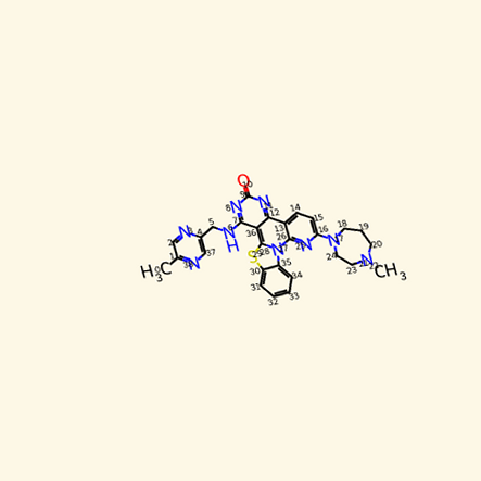 Cc1cnc(CNc2nc(=O)nc3c4ccc(N5CCCN(C)CC5)nc4n4c(sc5ccccc54)c2-3)cn1